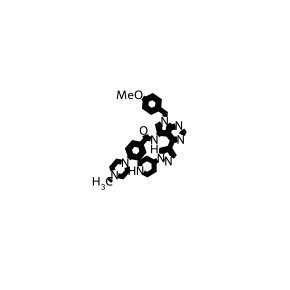 COc1ccc(Cn2cc(NC(=O)c3ccc(N4CCN(C)CC4)cc3)c3c(-c4cnn(C5CCNCC5)c4)ncnc32)cc1